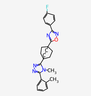 Cc1ccccc1-c1nnc(C23CCC(c4nc(-c5ccc(F)cc5)no4)(CC2)CC3)n1C